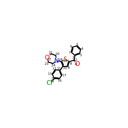 O=C(c1ccccc1)c1cc(-c2ccc(Cl)cc2)c(N2CCOCC2)s1